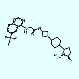 CN1C(=O)CCC1C1CCC(N2CC(NC(=O)CNc3ncnc4ccc(C(F)(F)F)cc34)C2)CC1